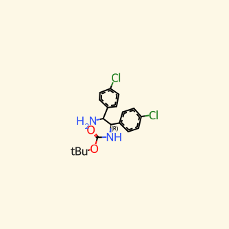 CC(C)(C)OC(=O)N[C@H](c1ccc(Cl)cc1)C(N)c1ccc(Cl)cc1